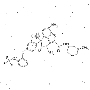 Cc1cc(Oc2ccccc2OC(F)(F)F)ccc1C1(N)C(=O)C(N)c2c(C(=O)NC3CCCN(C)C3)sc3c(N)ccc1c23